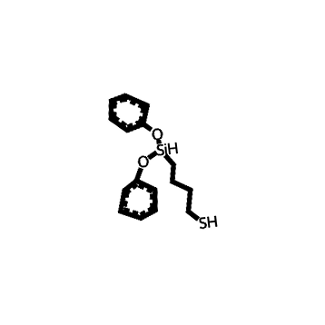 SCCCC[SiH](Oc1ccccc1)Oc1ccccc1